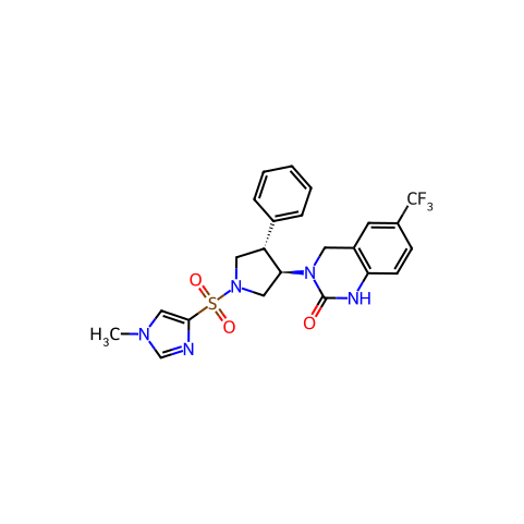 Cn1cnc(S(=O)(=O)N2C[C@H](c3ccccc3)[C@@H](N3Cc4cc(C(F)(F)F)ccc4NC3=O)C2)c1